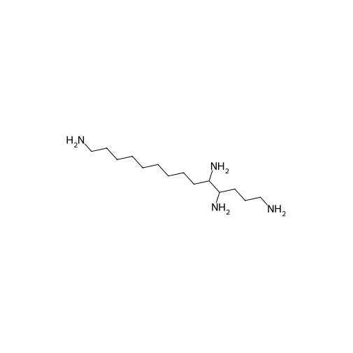 NCCCCCCCCCC(N)C(N)CCCN